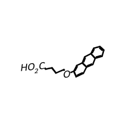 O=C(O)CCCCOc1ccc2cc3ccccc3cc2c1